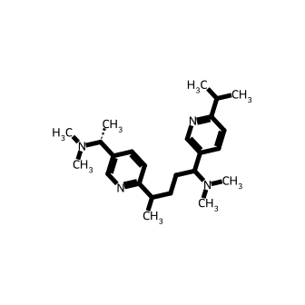 CC(C)c1ccc(C(CCC(C)c2ccc([C@@H](C)N(C)C)cn2)N(C)C)cn1